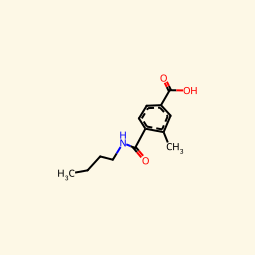 CCCCNC(=O)c1ccc(C(=O)O)cc1C